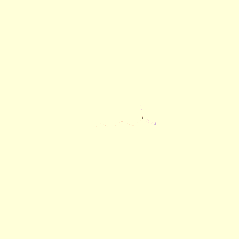 N=C(N)CCCCC(=O)O